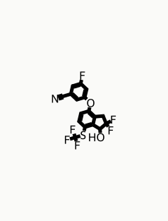 N#Cc1cc(F)cc(Oc2ccc(SC(F)(F)F)c3c2CC(F)(F)C3O)c1